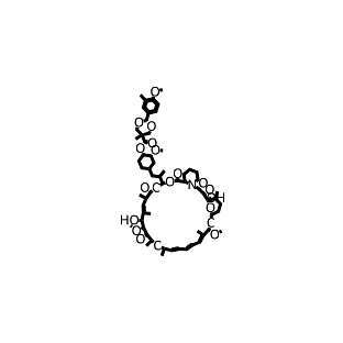 COc1ccc(C2OCC(C)(C(=O)OC3CCC(CC(C)C4CC(=O)C(C)/C=C(\C)C(O)C(OC)C(=O)C(C)CC(C)/C=C/C=C/C=C(\C)C(OC)CC5CCC(C)C(O)(O5)C(=O)C(=O)N5CCCCC5C(=O)O4)CC3OC)CO2)cc1C